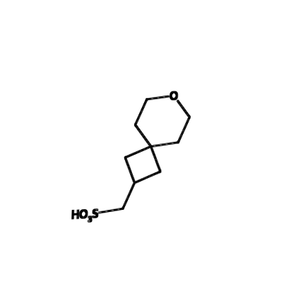 O=S(=O)(O)CC1CC2(CCOCC2)C1